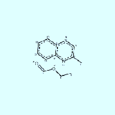 CCOC=O.Cc1cnc2ccccc2n1